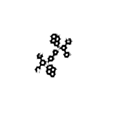 c1cncc(-c2cc(-c3cccnc3)cc(N(c3ccc(-c4ccc(N(c5cc(-c6cccnc6)cc(-c6cccnc6)c5)c5cc6ccc7cccc8ccc(c5)c6c78)cc4)cc3)c3cc4ccc5cccc6ccc(c3)c4c56)c2)c1